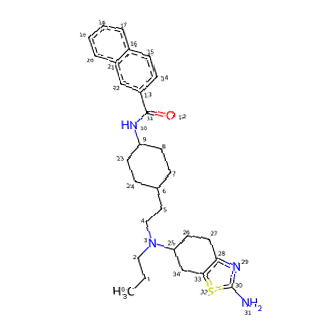 CCCN(CCC1CCC(NC(=O)c2ccc3ccccc3c2)CC1)C1CCc2nc(N)sc2C1